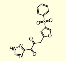 O=C(Cc1cc(S(=O)(=O)c2ccccc2)co1)C(=O)c1nc[nH]n1